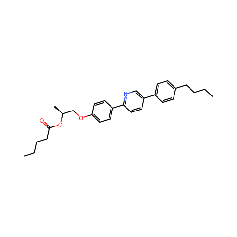 CCCCC(=O)O[C@@H](C)COc1ccc(-c2ccc(-c3ccc(CCCC)cc3)cn2)cc1